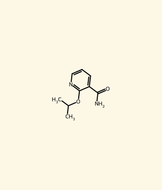 CC(C)Oc1ncccc1C(N)=O